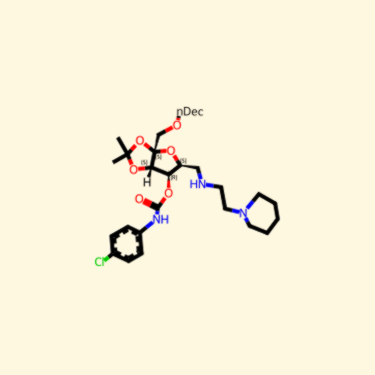 CCCCCCCCCCOC[C@@]12O[C@@H](CNCCN3CCCCC3)[C@@H](OC(=O)Nc3ccc(Cl)cc3)[C@@H]1OC(C)(C)O2